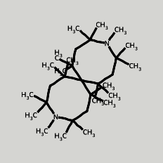 CN1C(C)(C)CC(C)(C)C2(C(C)(C)CC1(C)C)C(C)(C)CC(C)(C)N(C)C(C)(C)CC2(C)C